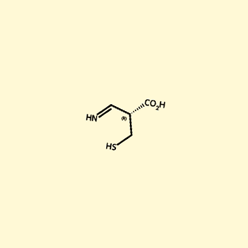 N=C[C@@H](CS)C(=O)O